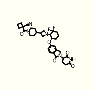 N#CC1(C(=O)N2CCC(C3CN([C@@H]4[C@H](Oc5ccc6c(c5)CN(C5CCC(=O)NC5=O)C6=O)CCCC4(F)F)C3)CC2)CCC1